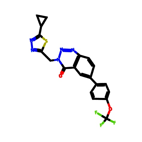 O=c1c2cc(-c3ccc(OC(F)(F)F)cc3)ccc2nnn1Cc1nnc(C2CC2)s1